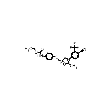 CCOC(=O)Nc1ccc(OC[C@@H]2CN(c3ccc(C#N)c(C(F)(F)F)c3)[C@@H](C)O2)cc1